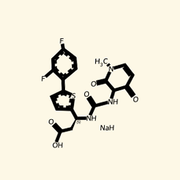 CN1C=CC(=O)C(NC(=O)N[C@@H](CC(=O)O)c2ccc(-c3ccc(F)cc3F)s2)C1=O.[NaH]